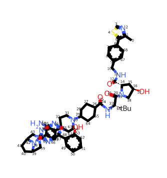 Cc1ncsc1-c1ccc(CNC(=O)[C@@H]2C[C@@H](O)CN2C(=O)[C@@H](NC(=O)C2CCC(N3CCC(c4cnc(N5C6CCC5CN(c5cc(-c7ccccc7O)nnc5N)C6)nc4)CC3)CC2)C(C)(C)C)cc1